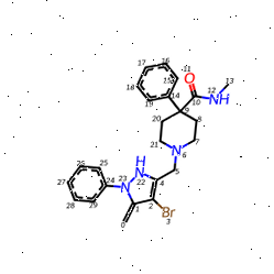 C=C1C(Br)=C(CN2CCC(C(=O)NC)(c3ccccc3)CC2)NN1c1ccccc1